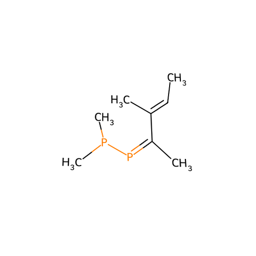 C/C=C(C)/C(C)=P\P(C)C